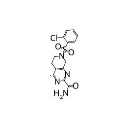 NC(=O)c1n[c]c2c(n1)CN(S(=O)(=O)c1ccccc1Cl)CC2